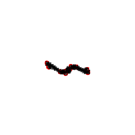 O=C(Oc1cccc2c(OC(=O)c3ccc(OCCCCCCCCCC(CC4CO4)C4CO4)cc3)cccc12)c1ccc(OCCCCCCCCCC(CC2CO2)C2CO2)cc1